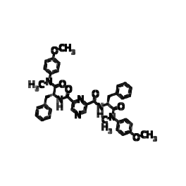 COc1ccc(N(C)C(=O)[C@H](Cc2ccccc2)NC(=O)c2cncc(C(=O)N[C@@H](Cc3ccccc3)C(=O)N(C)c3ccc(OC)cc3)n2)cc1